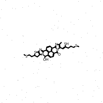 CSCCC/C(S)=C/c1c(C)nc2c3ccc4c5c(ccc(c(=O)n12)c53)C(O)n1c-4nc2c1CC(CCSC)S2